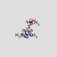 [2H][C@](C)(O)CCCCn1c(=O)c2c(ncn2C)n(C)c1=O